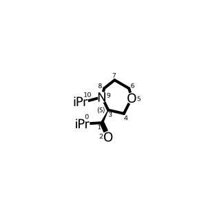 CC(C)C(=O)[C@@H]1COCCCN1C(C)C